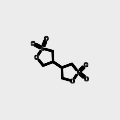 O=S1(=O)CC(C2COS(=O)(=O)C2)CO1